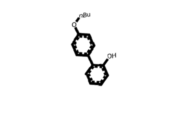 CCCCOc1ccc(-c2ccccc2O)cc1